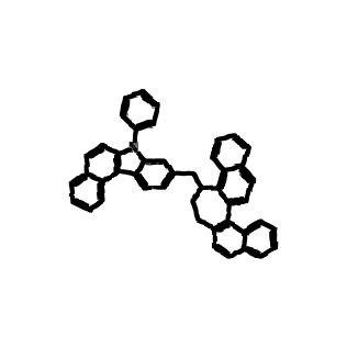 c1ccc(-n2c3cc(CC4CCc5ccc6ccccc6c5-c5ccc6ccccc6c54)ccc3c3c4ccccc4ccc32)cc1